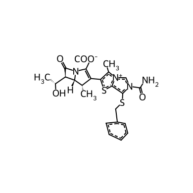 Cc1c(C2=C(C(=O)[O-])N3C(=O)[C@H]([C@@H](C)O)[C@H]3[C@H]2C)sc2c(SCc3ccccc3)n(C(N)=O)c[n+]12